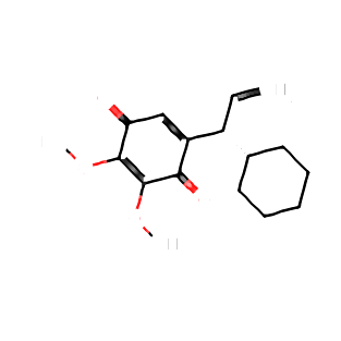 C=C[C@@H](C1=CC(=O)C(OC)=C(OC)C1=O)C1CCCCC1